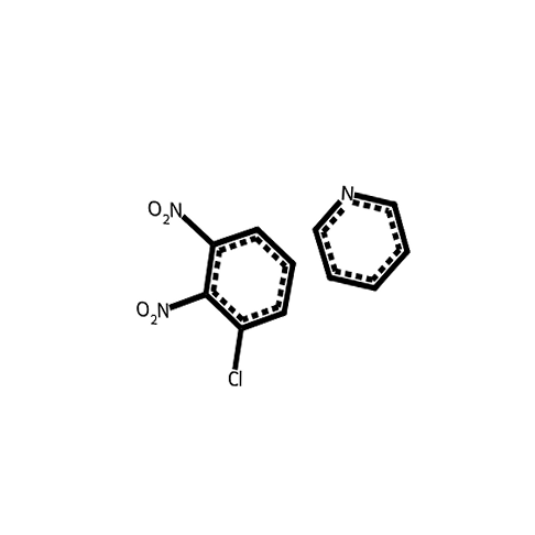 O=[N+]([O-])c1cccc(Cl)c1[N+](=O)[O-].c1ccncc1